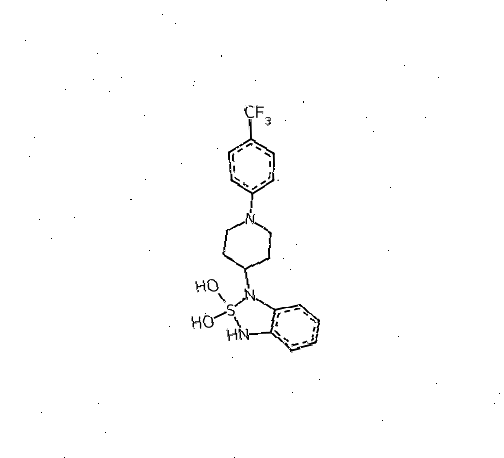 OS1(O)Nc2ccccc2N1C1CCN(c2[c]cc(C(F)(F)F)cc2)CC1